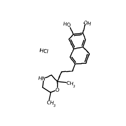 CC1CNCC(C)(CCc2ccc3cc(O)c(O)cc3c2)O1.Cl